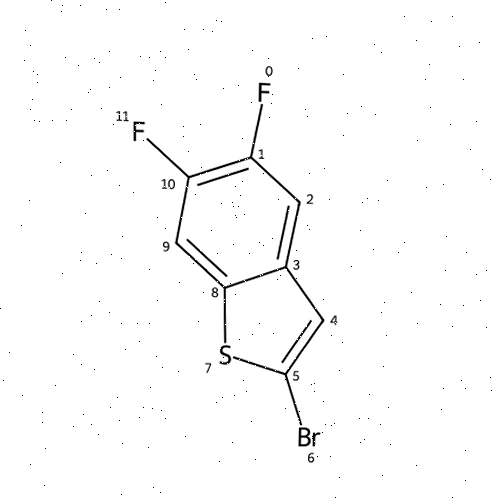 Fc1cc2cc(Br)sc2cc1F